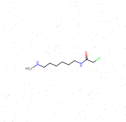 O=C(O)NCCCCCCNC(=O)CCl